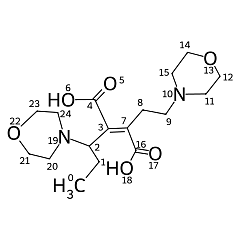 CCC(C(C(=O)O)=C(CCN1CCOCC1)C(=O)O)N1CCOCC1